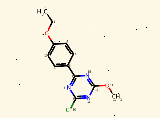 CCOc1ccc(-c2nc(Cl)nc(OC)n2)cc1